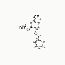 CCCOc1cc(C(F)(F)F)ccc1OCc1ccccc1